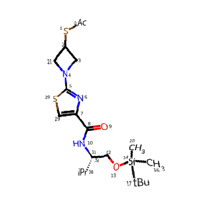 CC(=O)SC1CN(c2nc(C(=O)N[C@H](CO[Si](C)(C)C(C)(C)C)C(C)C)cs2)C1